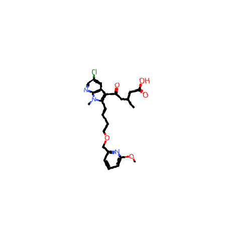 COc1cccc(COCCCCc2c(C(=O)CC(C)CC(=O)O)c3cc(Cl)cnc3n2C)n1